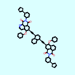 O=C1c2cccc3c(Oc4ccccc4)c(C#Cc4ccc(C#Cc5cc6c7c(nccc7c5Oc5ccccc5)C(=O)N(c5cccc(C7=CC=CC7)c5)C6=O)c5ccccc45)cc(c23)C(=O)N1c1cccc(C2=CC=CC2)c1